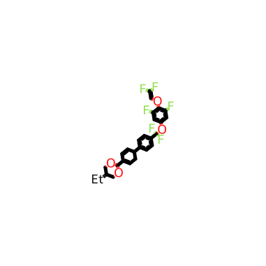 CCC1COC(C2=CCC(c3ccc(C(F)(F)Oc4cc(F)c(OC=C(F)F)c(F)c4)cc3)C=C2)OC1